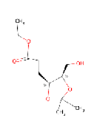 CCOC(=O)CC[C@@H]1OC(C)(C)O[C@@H]1CO